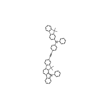 CC1(C)c2ccccc2-c2ccc(N(c3ccccc3)c3ccc(C#Cc4ccc5c(c4)C(C)(C)c4c-5ccc5c6ccccc6n(-c6ccccc6)c45)cc3)cc21